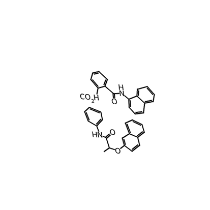 CC(Oc1ccc2ccccc2c1)C(=O)Nc1ccccc1.O=C(O)c1ccccc1C(=O)Nc1cccc2ccccc12